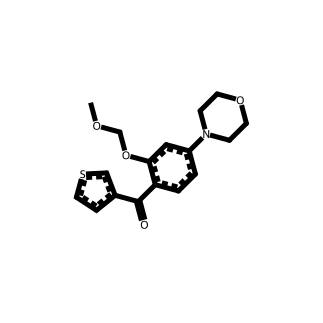 COCOc1cc(N2CCOCC2)ccc1C(=O)c1ccsc1